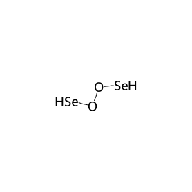 [SeH]OO[SeH]